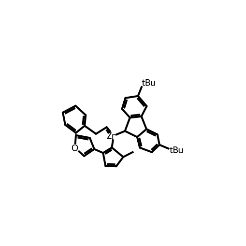 CC1C=CC(c2ccoc2)=[C]1[Zr](=[CH]Cc1ccccc1)[CH]1c2ccc(C(C)(C)C)cc2-c2cc(C(C)(C)C)ccc21